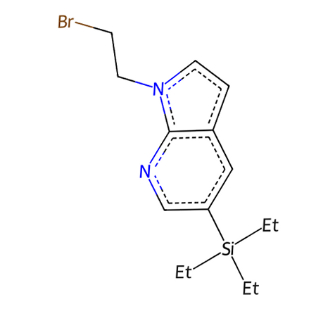 CC[Si](CC)(CC)c1cnc2c(ccn2CCBr)c1